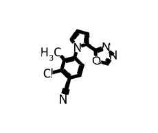 Cc1c(-n2cccc2-c2nnco2)ccc(C#N)c1Cl